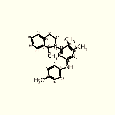 Cc1ccc(Nc2nc(C)c(C)c(N3CCc4ccccc4C3C)n2)cc1